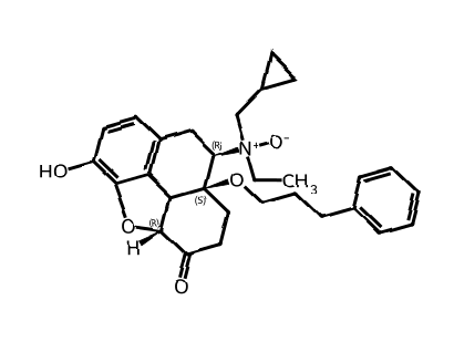 CC[N+]([O-])(CC1CC1)[C@@H]1Cc2ccc(O)c3c2C2[C@@H](O3)C(=O)CC[C@]21OCCCc1ccccc1